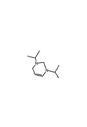 CC(C)N1C=CCN(C(C)C)C1